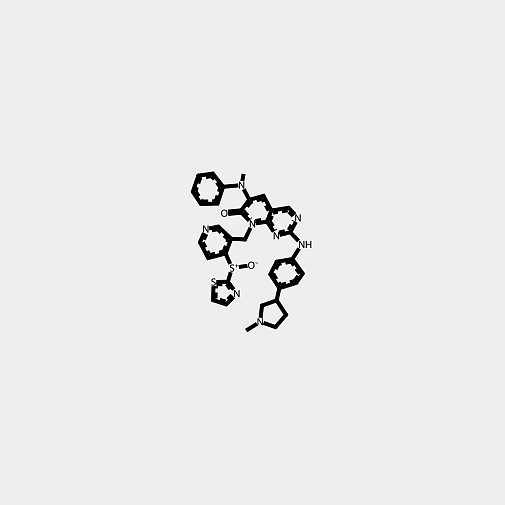 CN1CCC(c2ccc(Nc3ncc4cc(N(C)c5ccccc5)c(=O)n(Cc5cnccc5[S+]([O-])c5nccs5)c4n3)cc2)C1